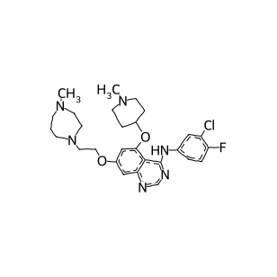 CN1CCC(Oc2cc(OCCN3CCCN(C)CC3)cc3ncnc(Nc4ccc(F)c(Cl)c4)c23)CC1